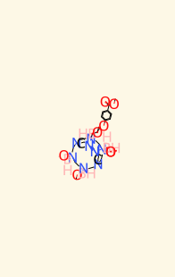 COBN1CCN(BOC)CCN2CCN(BOC)CCN(BOC)CCN(CC1)CCN(BOC)CCN(CCCOc1ccc(C(=O)OC)cc1)CC2